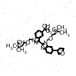 C[Si](C)(C)CCOCn1nc(-c2nc3ccc(-c4ccoc4)cc3n2COCC[Si](C)(C)C)c2cc(C(=O)O)ccc21